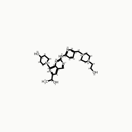 CC(O)c1cc2cnc(Nc3ccc(CN4CCN(CCO)CC4)cn3)nc2c(N2CCC(O)CC2)n1